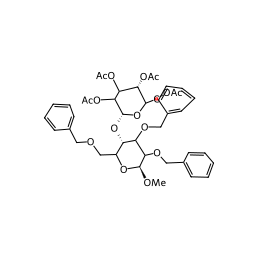 CO[C@H]1OC(COCc2ccccc2)[C@H](O[C@H]2OC(COC(C)=O)[C@@H](OC(C)=O)C(OC(C)=O)C2OC(C)=O)C(OCc2ccccc2)C1OCc1ccccc1